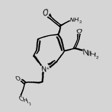 CC(=O)C[n+]1ccc(C(N)=O)c(C(N)=O)c1